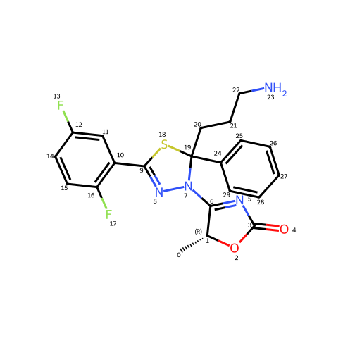 C[C@H]1OC(=O)N=C1N1N=C(c2cc(F)ccc2F)SC1(CCCN)c1ccccc1